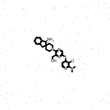 CN(C)c1nccc(Sc2cnc(N3CCC4(CC3)Cc3ccccc3[C@H]4N)c(CO)n2)c1Cl